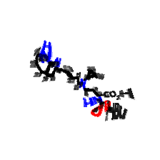 CCC(C)COC(=O)NC(CCN(CCCCc1ccc2c(n1)NCCC2)C1CC1)C(=O)O